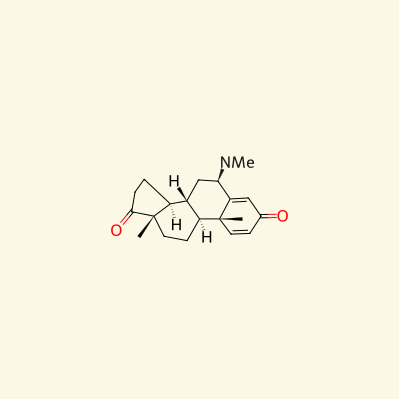 CN[C@@H]1C[C@@H]2[C@H](CC[C@]3(C)C(=O)CC[C@@H]23)[C@@]2(C)C=CC(=O)C=C12